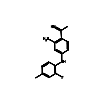 CC(=N)c1ccc(Nc2ccc(C)cc2F)cc1N